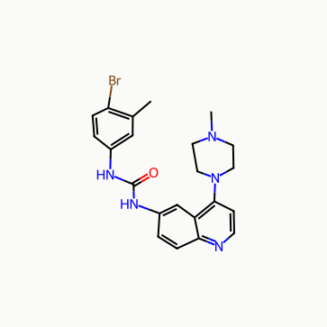 Cc1cc(NC(=O)Nc2ccc3nccc(N4CCN(C)CC4)c3c2)ccc1Br